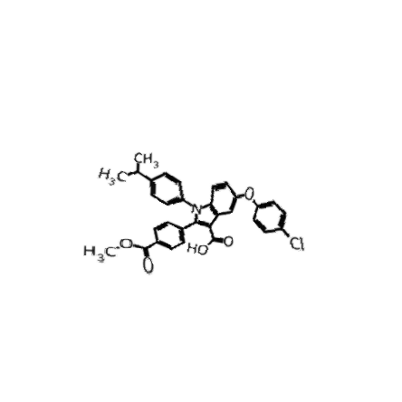 COC(=O)c1ccc(-c2c(C(=O)O)c3cc(Oc4ccc(Cl)cc4)ccc3n2-c2ccc(C(C)C)cc2)cc1